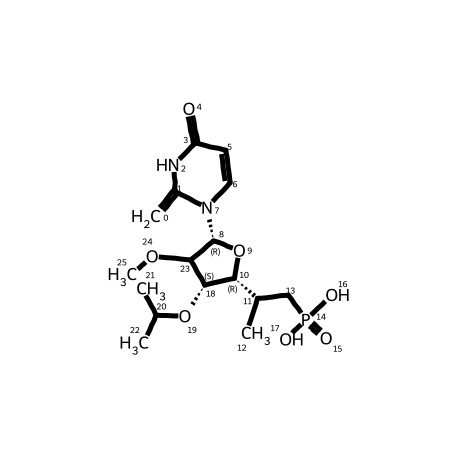 C=C1NC(=O)C=CN1[C@@H]1O[C@H](C(C)CP(=O)(O)O)[C@H](OC(C)C)C1OC